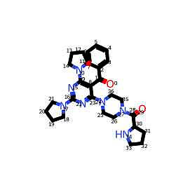 O=C(c1ccccc1)c1c(N2CCCC2)nc(N2CCCC2)nc1N1CCN(C(=O)C2CCCN2)CC1